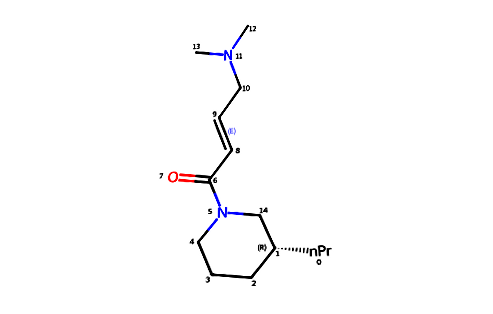 CCC[C@@H]1CCCN(C(=O)/C=C/CN(C)C)C1